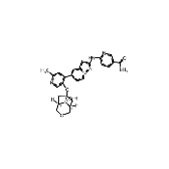 Cc1cc(-c2ccn3nc(Nc4ccc(C(N)=O)cn4)cc3c2)c(OC2C[C@H]3COC[C@@H](C2)N3C(=O)O)cn1